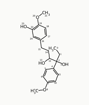 CCC(O)(c1ccc(OC)cc1)C(O)CCc1ccc(OC)c(O)c1